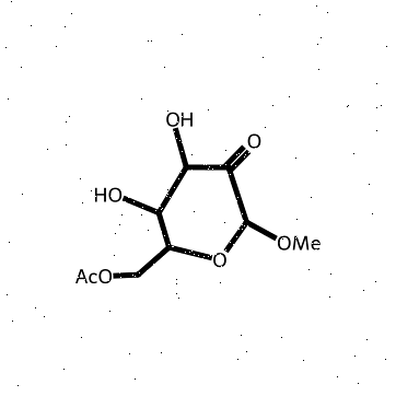 COC1OC(COC(C)=O)C(O)C(O)C1=O